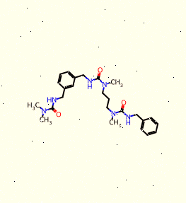 CN(C)C(=O)NCc1cccc(CNC(=O)N(C)CCCN(C)C(=O)NCc2ccccc2)c1